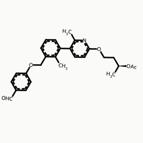 CC(=O)O[C@@H](C)CCOc1ccc(-c2cccc(COc3ccc(C=O)cc3)c2C)c(C)n1